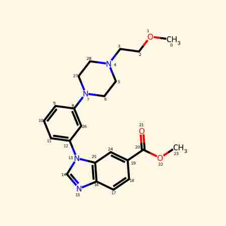 COCCN1CCN(c2cccc(-n3cnc4ccc(C(=O)OC)cc43)c2)CC1